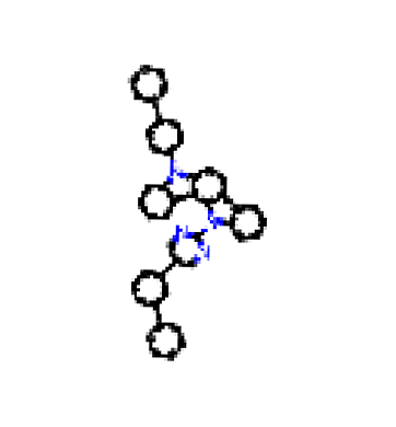 c1ccc(-c2ccc(-n3c4ccccc4c4c3ccc3c5ccccc5n(-c5ncc(-c6cccc(-c7ccccc7)c6)cn5)c34)cc2)cc1